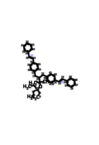 CC[Si](CC)(CC)OC(C)(C)C(Cc1ccc(/C=C/c2ccccc2)cc1)Cc1ccc(/C=C/c2ccccc2)cc1